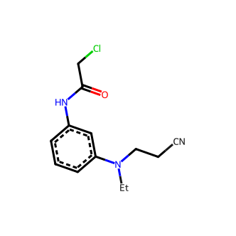 CCN(CCC#N)c1cccc(NC(=O)CCl)c1